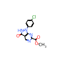 COC(=O)c1ncc2c(=O)[nH]n(-c3ccc(Cl)cc3)c2n1